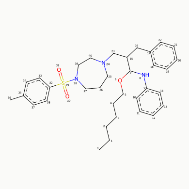 CCCCCCOC(Nc1ccccc1)C(Cc1ccccc1)CN1CCCN(S(=O)(=O)c2ccc(C)cc2)CC1